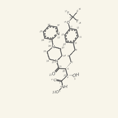 O=C(NO)[C@@H](O)[C@@H](CCCc1ccc(OC(F)(F)F)cc1)C(=O)N1CCN(c2ccccn2)CC1